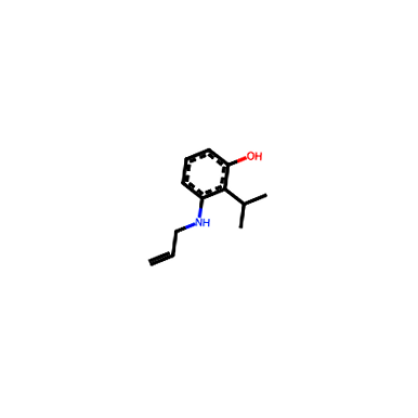 C=CCNc1cccc(O)c1C(C)C